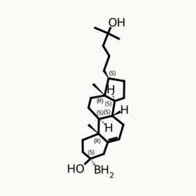 B[C@]1(O)CC[C@@]2(C)C(=CC[C@H]3[C@@H]4CC[C@H](CCCC(C)(C)O)[C@@]4(C)CC[C@@H]32)C1